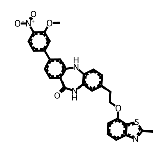 COc1cc(-c2ccc3c(c2)Nc2ccc(CCOc4cccc5nc(C)sc45)cc2NC3=O)ccc1[N+](=O)[O-]